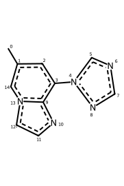 Cc1cc(-n2cncn2)c2nc[c]n2c1